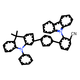 CC1(C)c2ccccc2N(c2ccccc2)c2cc(-c3ccc(-c4cccc(C#N)c4-n4c5ccccc5c5ccccc54)cc3)ccc21